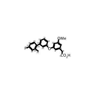 COc1cc(CC(=O)O)cc(Oc2cccc(-c3ccc(F)cc3C)c2)c1